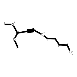 COC(C#CCCCCCBr)OC